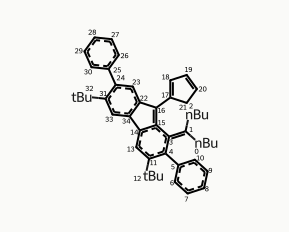 CCCCC(CCCC)=c1c(-c2ccccc2)c(C(C)(C)C)cc2c1=C(C1=CC=CC1)c1cc(-c3ccccc3)c(C(C)(C)C)cc1-2